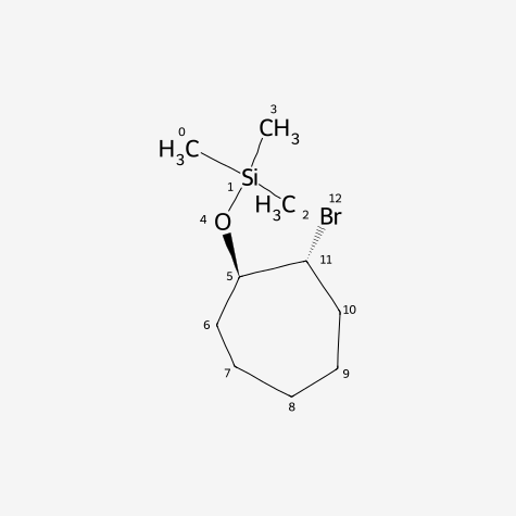 C[Si](C)(C)O[C@@H]1CCCCC[C@H]1Br